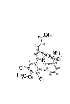 COc1c(Cl)cc(-c2cc(CCCO)nn2-c2ccccc2S(N)(=O)=O)cc1Cl